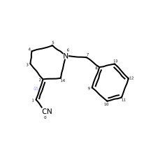 N#C/C=C1/CCCN(Cc2ccccc2)C1